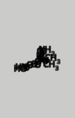 Cc1ccc(C)c(Cc2nc(COC(=O)COCCOCCONO)nn2-c2ccc(S(N)(=O)=O)cc2F)c1